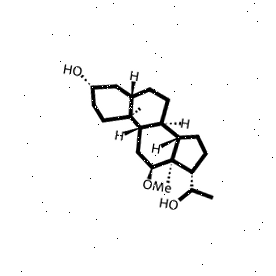 CO[C@H]1C[C@H]2[C@@H](CC[C@H]3C[C@@H](O)CC[C@@]32C)[C@@H]2CC[C@H](C(C)O)[C@@]12C